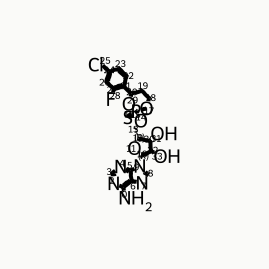 Nc1ncnc2c1ncn2[C@@H]1O[C@H](COP2(=S)OCCC(c3ccc(Cl)cc3F)O2)C(O)C1O